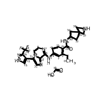 CCc1cc(Nc2nccn3c(-c4c[nH]nc4C(F)(F)F)cnc23)ccc1C(=O)NC1CC2(CNC2)C1.O=CO